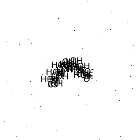 O[Si](O)(O)F.O[Si](O)(O)F.O[Si](O)(O)F.O[Si](O)(O)F.O[Si](O)(O)F.[Cs+].[Li+].[O-][Si]([O-])(O)F